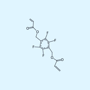 C=CC(=O)OCc1c(F)c(F)c(COC(=O)C=C)c(F)c1F